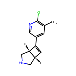 Cc1cc(C2=C[C@@H]3CNC[C@H]23)cnc1Cl